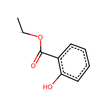 C[CH]OC(=O)c1ccccc1O